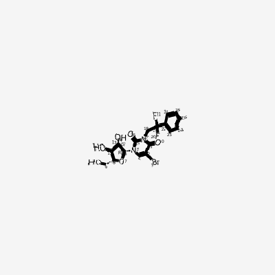 O=c1c(Br)cn([C@@H]2O[C@H](CO)C(O)[C@@H]2O)c(=O)n1CC(F)(F)c1ccccc1